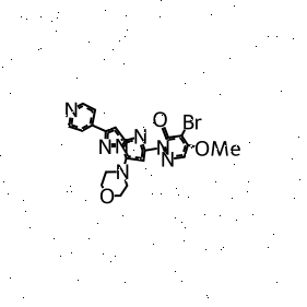 COc1cnn(-c2cc(N3CCOCC3)n3nc(-c4ccncc4)cc3n2)c(=O)c1Br